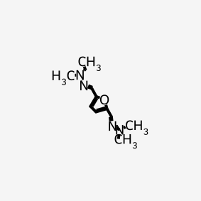 CCN(C)/N=C/c1ccc(/C=N/N(C)C)o1